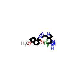 COc1cccc2c1CC=CC2(C=O)Cn1cnc(-c2cc(-c3nn[nH]c3C(F)(F)F)ccn2)c1